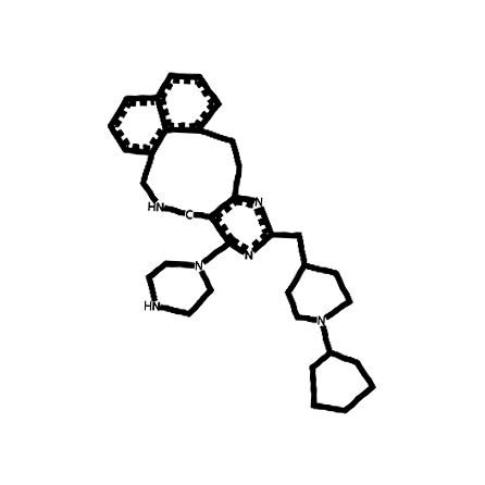 c1cc2c3c(cccc3c1)CNCc1c(nc(CC3CCN(C4CCCCC4)CC3)nc1N1CCNCC1)CC2